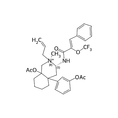 C=CC[N@+]1(C)CC2(OC(C)=O)CCCCC2(c2cccc(OC(C)=O)c2)C[C@H]1NC(=O)C(=Cc1ccccc1)OC(F)(F)F